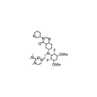 COc1cc(OC)c(F)c(N(C/C=N/C=C\N(C)[S+]([O-])N(C)C)c2ccc3ncn(-c4cccnc4)c(=O)c3c2)c1F